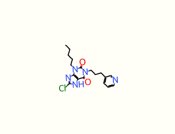 CCCCCn1c(=O)n(CCCc2cccnc2)c(=O)c2[nH]c(Cl)nc21